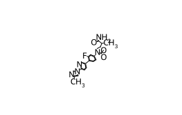 Cc1cn(-c2ccc(-c3ccc(N4CC(C(C)C(N)=O)OC4=O)cc3F)cn2)cn1